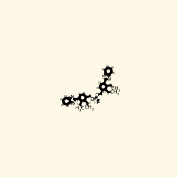 CCc1c(CO[PH](=O)OCc2ccc(-c3nc4ccccc4s3)c(CC)c2CC)ccc(-c2nc3ccccc3s2)c1CC